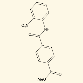 COC(=O)c1ccc(C(=O)Nc2ccccc2[N+](=O)[O-])cc1